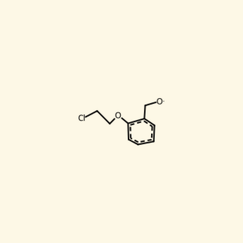 [O]Cc1ccccc1OCCCl